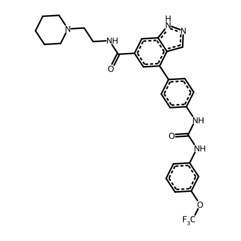 O=C(Nc1ccc(-c2cc(C(=O)NCCN3CCCCC3)cc3[nH]ncc23)cc1)Nc1cccc(OC(F)(F)F)c1